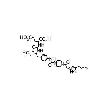 O=C(O)CCC(NC(=O)NC(Cc1ccc(NC(=O)N2CCN(C(=O)Cn3cc(CCCF)nn3)CC2)cc1)C(=O)O)C(=O)O